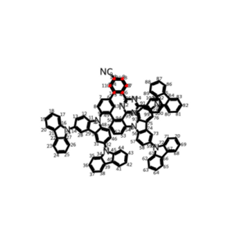 N#Cc1cccc(-c2ccc(-n3c4ccc(-n5c6ccccc6c6ccccc65)cc4c4cc(-n5c6ccccc6c6ccccc65)ccc43)c(-c3cccc(-n4c5ccc(-n6c7ccccc7c7ccccc76)cc5c5cc(-n6c7ccccc7c7ccccc76)ccc54)c3-c3nc(-c4ccccc4)nc(-c4ccccc4)n3)c2)c1